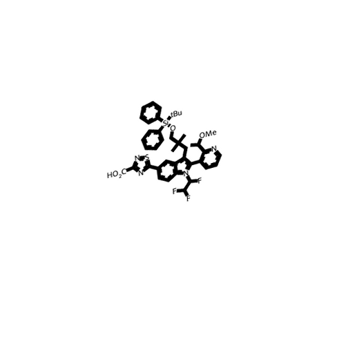 COC(C)c1ncccc1-c1c(CC(C)(C)CO[Si](c2ccccc2)(c2ccccc2)C(C)(C)C)c2cc(-c3nc(C(=O)O)ns3)ccc2n1C(F)C(F)F